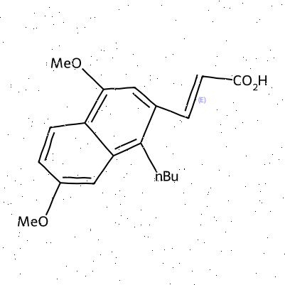 CCCCc1c(/C=C/C(=O)O)cc(OC)c2ccc(OC)cc12